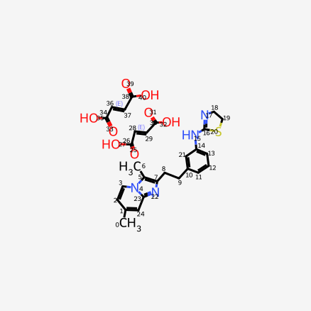 Cc1ccn2c(C)c(CCc3cccc(NC4=NCCS4)c3)nc2c1.O=C(O)/C=C/C(=O)O.O=C(O)/C=C/C(=O)O